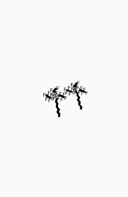 CCCCCCCC[Si](OC(F)(F)CF)(OC(F)(F)C(F)(F)F)OC(F)(F)C(F)(F)F.CCCCCCCC[Si](OC(F)(F)CF)(OC(F)(F)C(F)(F)F)OC(F)(F)C(F)(F)F